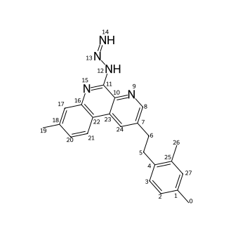 Cc1ccc(CCc2cnc3c(NN=N)nc4cc(C)ccc4c3c2)c(C)c1